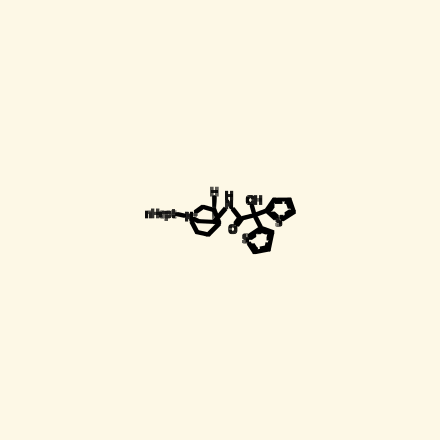 CCCCCCC[N+]12CCC(CC1)[C@@H](NC(=O)C(O)(c1cccs1)c1cccs1)C2